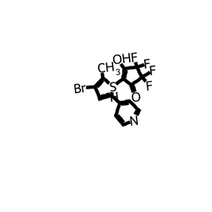 CC1=C(Br)C=C(c2ccncc2)[SH]1C1=C(O)C(F)(F)C(F)(F)C1=O